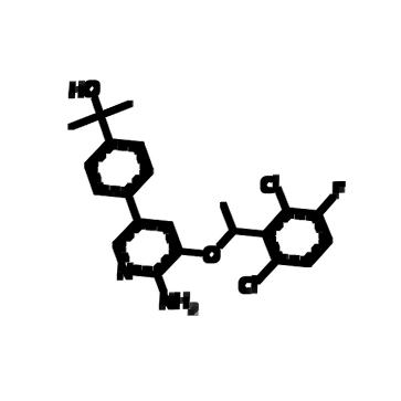 CC(Oc1cc(-c2ccc(C(C)(C)O)cc2)cnc1N)c1c(Cl)ccc(F)c1Cl